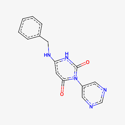 O=c1cc(NCc2ccccc2)[nH]c(=O)n1-c1cncnc1